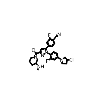 CNC1CCCN(C(=O)c2cc(-c3ccc(C#N)c(F)c3)n(-c3ccc(N4CCC(Cl)C4)cc3F)n2)C1